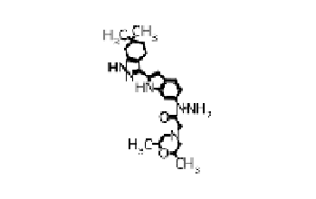 CC1CN(CC(=O)N(N)c2ccc3cc(-c4n[nH]c5c4CCC(C)(C)C5)[nH]c3c2)CC(C)O1